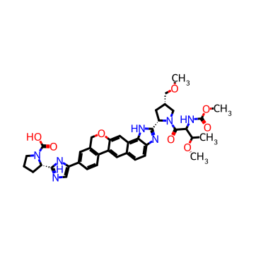 COC[C@H]1C[C@@H](c2nc3ccc4cc5c(cc4c3[nH]2)OCc2cc(-c3cnc([C@@H]4CCCN4C(=O)O)[nH]3)ccc2-5)N(C(=O)C(NC(=O)OC)C(C)OC)C1